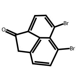 O=C1Cc2ccc(Br)c3c(Br)ccc1c23